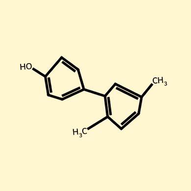 Cc1ccc(C)c(-c2ccc(O)cc2)c1